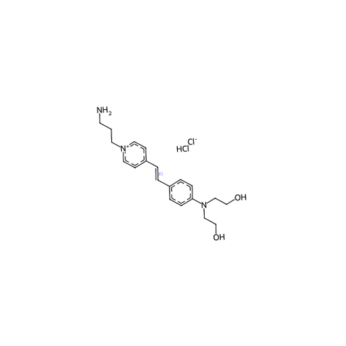 Cl.NCCC[n+]1ccc(/C=C/c2ccc(N(CCO)CCO)cc2)cc1.[Cl-]